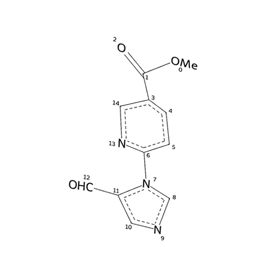 COC(=O)c1ccc(-n2cncc2C=O)nc1